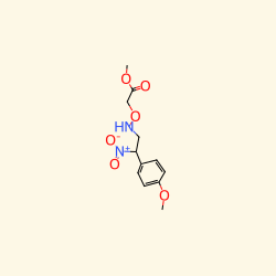 COC(=O)CONCC(c1ccc(OC)cc1)[N+](=O)[O-]